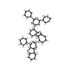 c1ccc(-c2nc(-c3ccccc3)nc(-c3cccc4c3sc3cccc(-c5nc(-c6ccccc6)c6sc7ccccc7c6n5)c34)n2)cc1